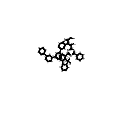 C/C=c1/sc2ccc(-c3cccc(-c4cccc(-c5ccccc5)c4)c3)cc2/c1=C(/C)c1nc(-c2ccccc2)nc(-c2cccc3c2C(C)(C)c2ccccc2-3)n1